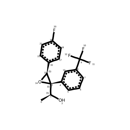 C[C@H](O)[C@]1(c2cccc(C(F)(F)F)c2)O[C@H]1c1ccc(F)cc1